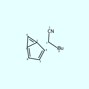 CCC(C)CC#N.c1cc2cc-2c1